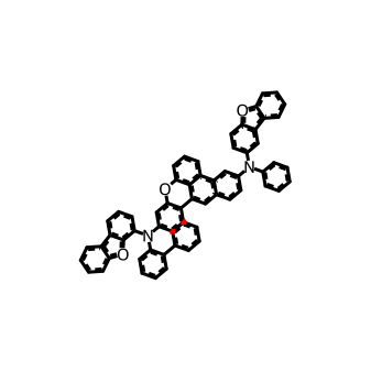 c1ccc(-c2ccccc2N(c2ccc3c(c2)Oc2cccc4c2c-3cc2ccc(N(c3ccccc3)c3ccc5oc6ccccc6c5c3)cc24)c2cccc3c2oc2ccccc23)cc1